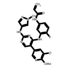 C=CC(=O)Nc1ccc(F)c(Nc2nc(Nc3cnn(C)c3)ncc2-c2cnc(OC)c(Cl)c2)c1